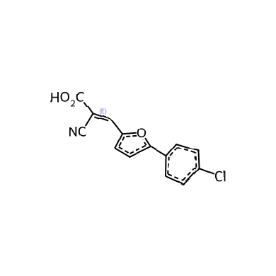 N#C/C(=C\c1ccc(-c2ccc(Cl)cc2)o1)C(=O)O